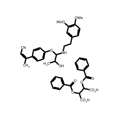 COc1ccc(CCNC(Oc2ccc(/C(C)=C\C#N)cc2)C(C)O)cc1OC.O=C(OC(C(=O)O)C(OC(=O)c1ccccc1)C(=O)O)c1ccccc1